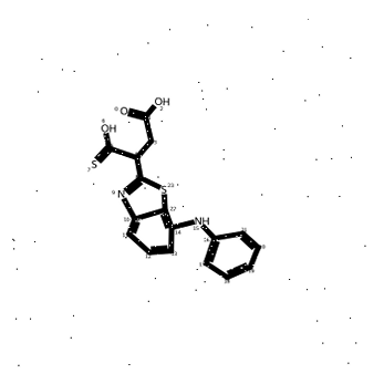 O=C(O)CC(C(O)=S)c1nc2cccc(Nc3ccccc3)c2s1